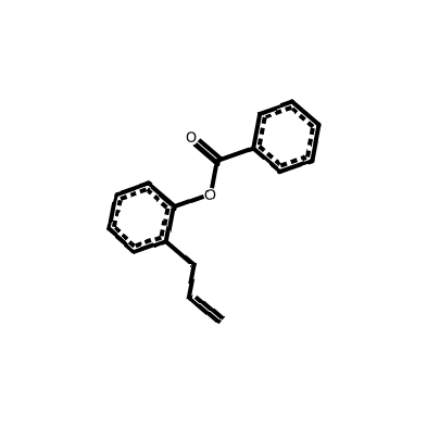 C=CCc1ccccc1OC(=O)c1ccccc1